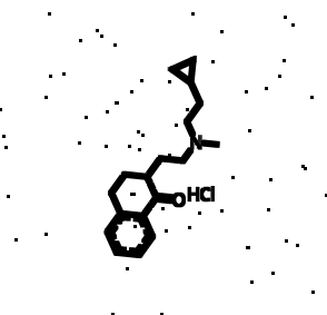 CN(CCC1CC1)CCC1CCc2ccccc2C1=O.Cl